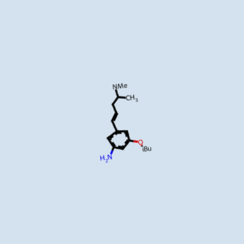 CCC(C)Oc1cc(N)cc(/C=C/CC(C)NC)c1